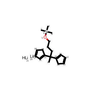 CC(CCCO[Si](C)(C)C)(C1=CC=CC1)C1=CC=CC1.[LiH].[LiH]